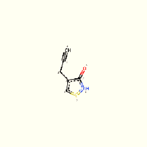 C#CCc1cs[nH]c1=O